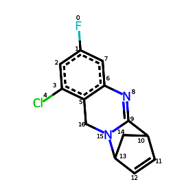 Fc1cc(Cl)c2c(c1)N=C1C3C=CC(C3)N1C2